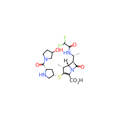 C[C@@H](NC(=O)C(F)F)[C@H]1C(=O)N2C(C(=O)O)=C(S[C@@H]3CN[C@H](C(=O)N4CCC(O)C4)C3)[C@H](C)[C@H]12